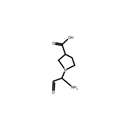 NC(C=O)N1CCC(C(=O)O)C1